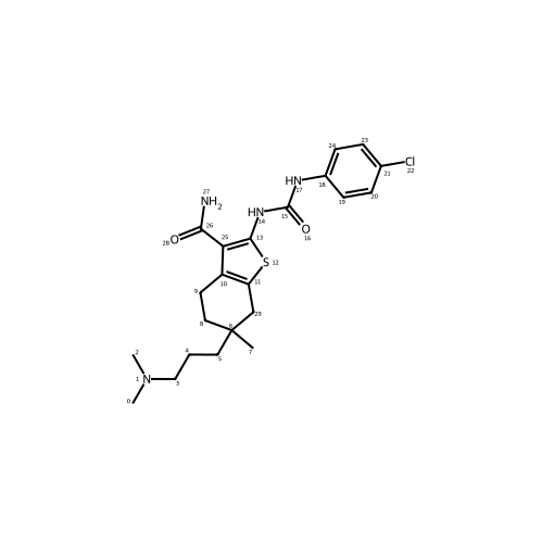 CN(C)CCCC1(C)CCc2c(sc(NC(=O)Nc3ccc(Cl)cc3)c2C(N)=O)C1